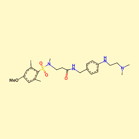 COc1cc(C)c(S(=O)(=O)N(C)CCC(=O)NCc2ccc(NCCN(C)C)cc2)c(C)c1